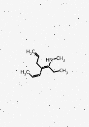 C=CCC(/C=C\C)=C(/CC)NC